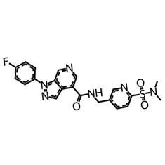 CN(C)S(=O)(=O)c1ccc(CNC(=O)c2cncc3c2cnn3-c2ccc(F)cc2)cn1